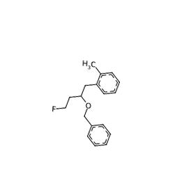 Cc1ccccc1CC(CCF)OCc1ccccc1